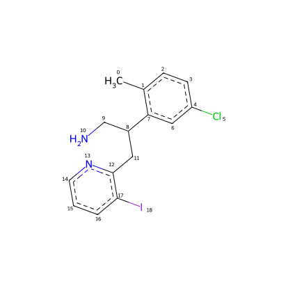 Cc1ccc(Cl)cc1C(CN)Cc1ncccc1I